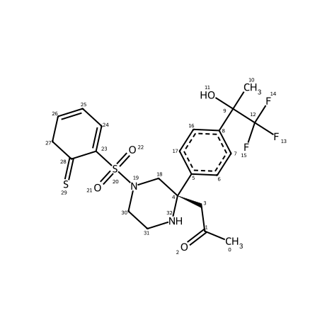 CC(=O)C[C@]1(c2ccc(C(C)(O)C(F)(F)F)cc2)CN(S(=O)(=O)C2=CC=CCC2=S)CCN1